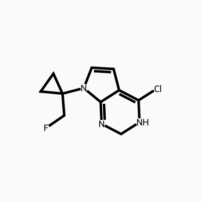 FCC1(n2ccc3c2=NCNC=3Cl)CC1